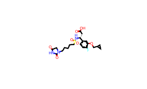 O=C(O)C[C@@H](NS(=O)(=O)CCCCCN1CC(=O)NC1=O)c1ccc(F)c(OCC2CC2)c1